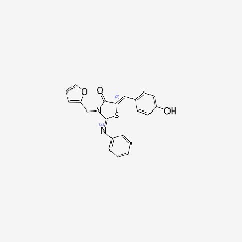 O=C1/C(=C/c2ccc(O)cc2)S/C(=N\c2ccccc2)N1Cc1ccco1